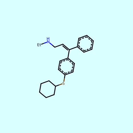 CCNCC=C(c1ccccc1)c1ccc(SC2CCCCC2)cc1